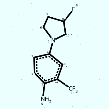 Nc1ccc(N2CCC(F)C2)cc1C(F)(F)F